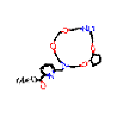 COC(=O)c1cccc(CN2CCOCCOCCNCCOC3CCCC3OCC2)n1